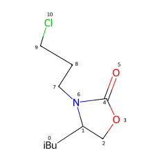 CCC(C)C1COC(=O)N1CCCCl